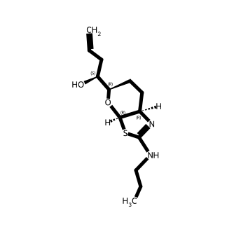 C=CC[C@H](O)[C@H]1CC[C@H]2N=C(NCCC)S[C@H]2O1